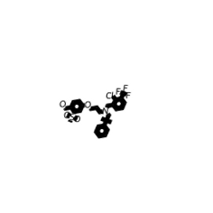 CC(C)(CN(CCCOc1ccc(C=O)c(S(C)(=O)=O)c1)Cc1cccc(C(F)(F)F)c1Cl)c1ccccc1